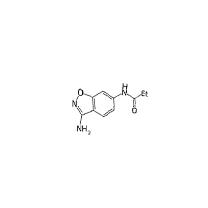 CCC(=O)Nc1ccc2c(N)noc2c1